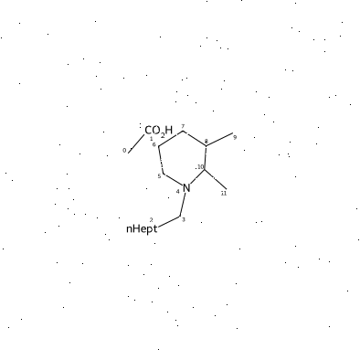 CC(=O)O.CCCCCCCCN1CCCC(C)C1C